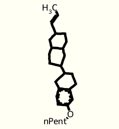 CC=CC1CCC2CC(C3CCc4cc(OCCCCC)ccc4C3)CCC2C1